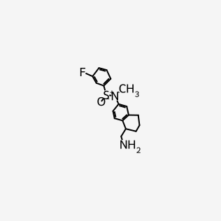 CN(c1ccc2c(c1)CCCC2CN)[S+]([O-])c1cccc(F)c1